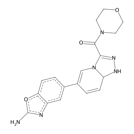 Nc1nc2cc(C3=CN4C(C(=O)N5CCOCC5)=NNC4C=C3)ccc2o1